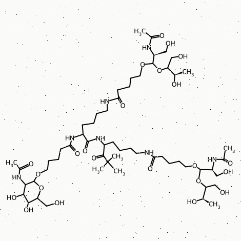 CC(=O)NC1C(OCCCCC(=O)NC(CCCCNC(=O)CCCCOC(OC(CO)[C@@H](C)O)[C@H](CO)NC(C)=O)C(=O)NC(CCCCNC(=O)CCCCOC(OC(CO)[C@@H](C)O)[C@H](CO)NC(C)=O)C(=O)C(C)(C)C)OC(CO)C(O)C1O